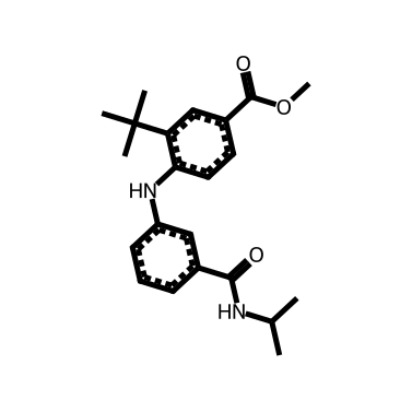 COC(=O)c1ccc(Nc2cccc(C(=O)NC(C)C)c2)c(C(C)(C)C)c1